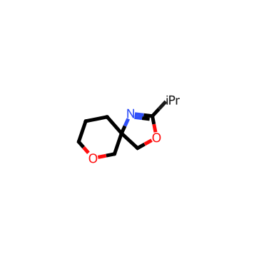 CC(C)C1=NC2(CCCOC2)CO1